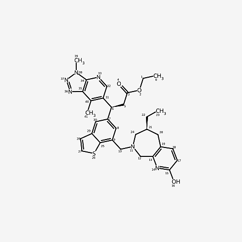 CCOC(=O)C[C@@H](c1cc(CN2Cc3nc(O)ccc3C[C@H](CC)C2)c2sccc2c1)c1cnc2c(nnn2C)c1C